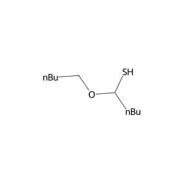 CCCCCOC(S)CCCC